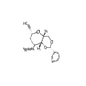 C#C[C@H]1CC(N=[N+]=[N-])[C@H]2O[C@@H](c3ccccc3)OC[C@H]2O1